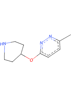 Cc1ccc(OC2CCNCC2)nn1